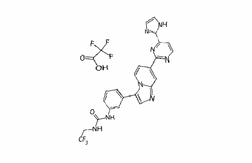 O=C(NCC(F)(F)F)Nc1cccc(-c2cnc3cc(-c4nccc(-c5ncc[nH]5)n4)ccn23)c1.O=C(O)C(F)(F)F